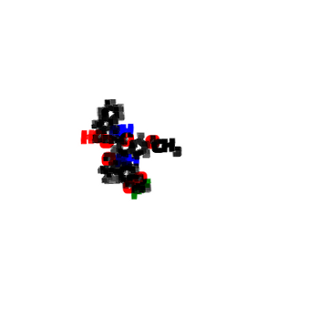 COc1ccc2c(c1)OC(C(=O)NC1c3ccccc3CC1O)CC2NC(=O)C1(c2ccc3c(c2)OC(F)(F)O3)CC1